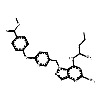 CCCC(N)Nc1nc(N)nc2cnn(Cc3ccc(Oc4ccc(C(=O)OC)cc4)nc3)c12